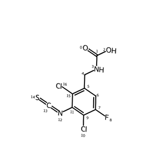 O=C(O)NCc1cc(F)c(Cl)c(N=C=S)c1Cl